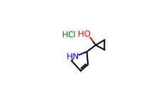 Cl.OC1(C2C=CCN2)CC1